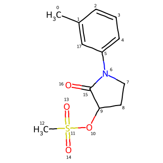 Cc1cccc(N2CCC(OS(C)(=O)=O)C2=O)c1